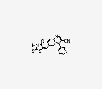 N#Cc1cnc2ccc(C=C3SC(=S)NC3=O)cc2c1-c1cccnc1